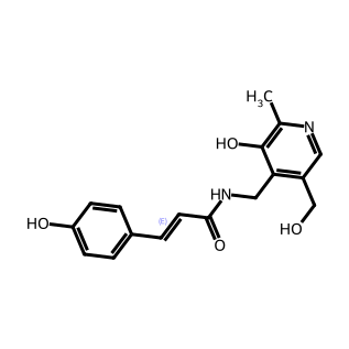 Cc1ncc(CO)c(CNC(=O)/C=C/c2ccc(O)cc2)c1O